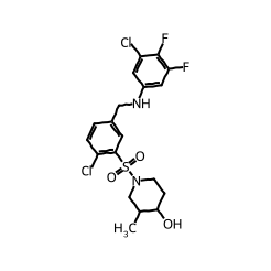 CC1CN(S(=O)(=O)c2cc(CNc3cc(F)c(F)c(Cl)c3)ccc2Cl)CCC1O